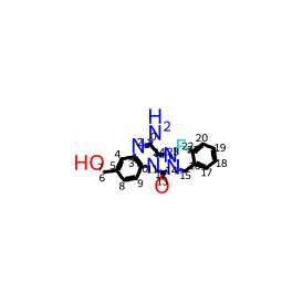 Nc1nc2cc(CO)ccc2n2c(=O)n(Cc3ccccc3F)nc12